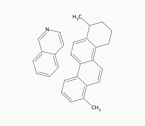 Cc1cccc2c1ccc1c3c(ccc12)C(C)CCC3.c1ccc2cnccc2c1